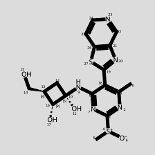 Cc1nc([S+](C)[O-])nc(N[C@]2(O)C[C@H](CO)[C@H]2O)c1-c1nc2cnccc2s1